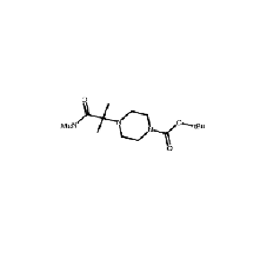 CNC(=O)C(C)(C)N1CCN(C(=O)OC(C)(C)C)CC1